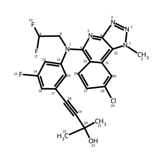 Cn1nnc2nc(N(CC(F)F)c3cc(F)cc(C#CC(C)(C)O)c3)c3ccc(Cl)cc3c21